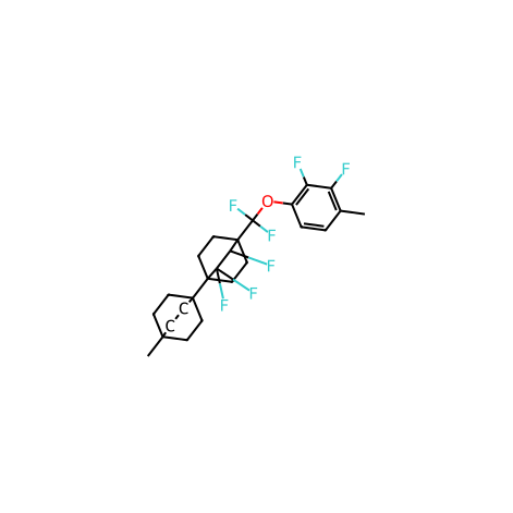 Cc1ccc(OC(F)(F)C23CCC(C45CCC(C)(CC4)CC5)(CC2)C(F)(F)C3F)c(F)c1F